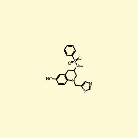 CN(C1Cc2cc(C#N)ccc2N(Cc2cncs2)C1)S(=O)(=O)c1ccccc1